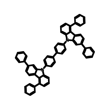 c1ccc(-c2ccc3c4c(-c5ccccc5)cccc4n(-c4ccc(-c5ccc(-n6c7cc(-c8ccccc8)ccc7c7c(-c8ccccc8)cccc76)cc5)cc4)c3c2)cc1